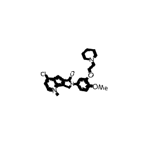 COc1ccc(N2Cc3c(cc4c(Cl)ccn(C)c3-4)C2=O)cc1OCCN1CCCCC1